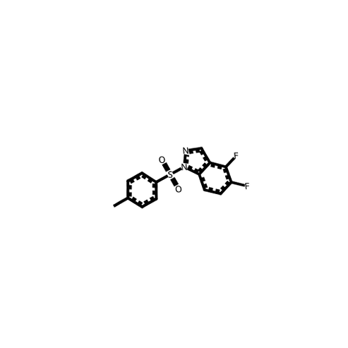 Cc1ccc(S(=O)(=O)n2ncc3c(F)c(F)ccc32)cc1